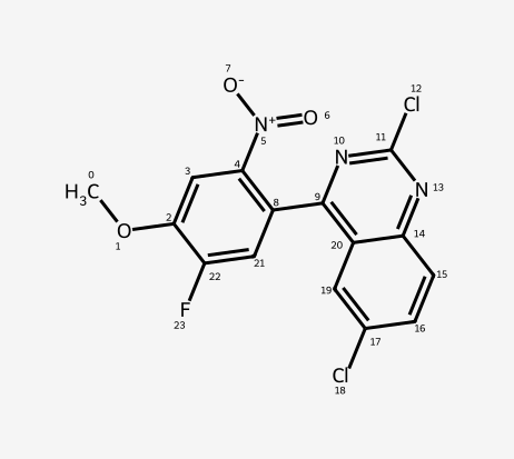 COc1cc([N+](=O)[O-])c(-c2nc(Cl)nc3ccc(Cl)cc23)cc1F